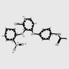 CC(=O)Nc1ccc(Oc2ccnc(Cl)c2Oc2ccccc2[N+](=O)[O-])cc1